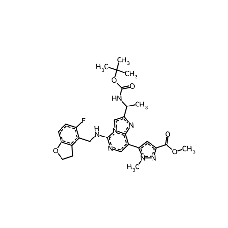 COC(=O)c1cc(-c2cnc(NCc3c(F)ccc4c3CCO4)n3cc(C(C)NC(=O)OC(C)(C)C)nc23)n(C)n1